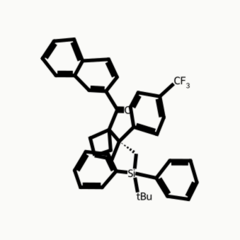 CC(C)(C)[Si](C[C@]1(c2ccc(C(F)(F)F)cc2)CC2CC1(C(=O)c1ccc3ccccc3c1)C2)(c1ccccc1)c1ccccc1